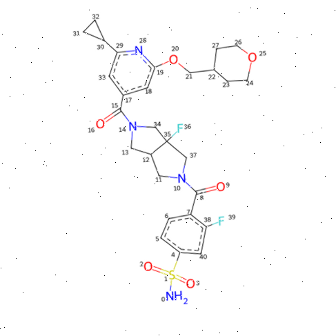 NS(=O)(=O)c1ccc(C(=O)N2CC3CN(C(=O)c4cc(OCC5CCOCC5)nc(C5CC5)c4)CC3(F)C2)c(F)c1